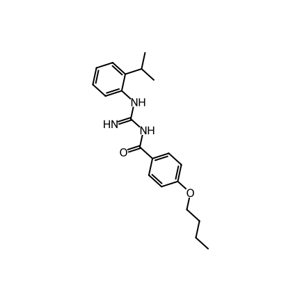 CCCCOc1ccc(C(=O)NC(=N)Nc2ccccc2C(C)C)cc1